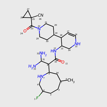 CC1CCC(F)CNC(C(C(=O)NC2CNC=CC2C2CCN(C(=O)C3(C#N)CC3)CC2)C(N)N)C1